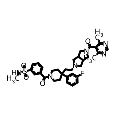 CNS(=O)(=O)c1cccc(C(=O)N2CCC(CCN3CC4CN(C(=O)c5c(C)ncnc5C)CC4C3)(c3cccc(F)c3)CC2)c1